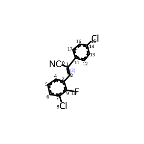 N#C/C(=C\c1cccc(Cl)c1F)c1ccc(Cl)cc1